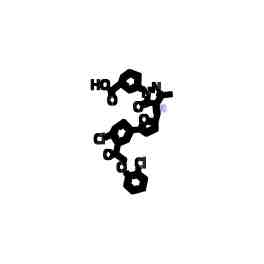 CC1=NN(c2cccc(C(=O)O)c2)C(=O)/C1=C\c1ccc(-c2ccc(Cl)c(C(=O)COc3ccccc3Cl)c2)o1